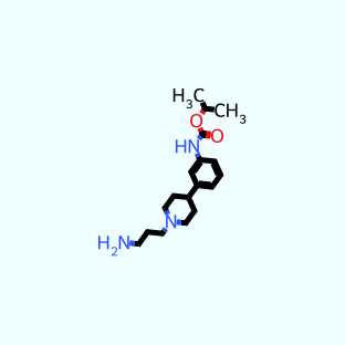 CC(C)OC(=O)Nc1cccc(C2CCN(CCCN)CC2)c1